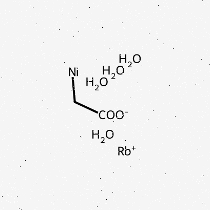 O.O.O.O.O=C([O-])[CH2][Ni].[Rb+]